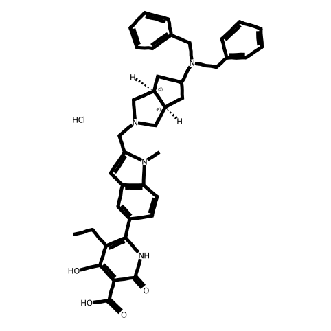 CCc1c(-c2ccc3c(c2)cc(CN2C[C@H]4CC(N(Cc5ccccc5)Cc5ccccc5)C[C@H]4C2)n3C)[nH]c(=O)c(C(=O)O)c1O.Cl